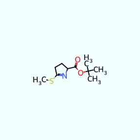 CSC1=NC(C(=O)OC(C)(C)C)CC1